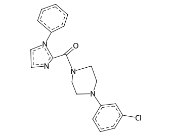 O=C(c1nccn1-c1ccccc1)N1CCN(c2cccc(Cl)c2)CC1